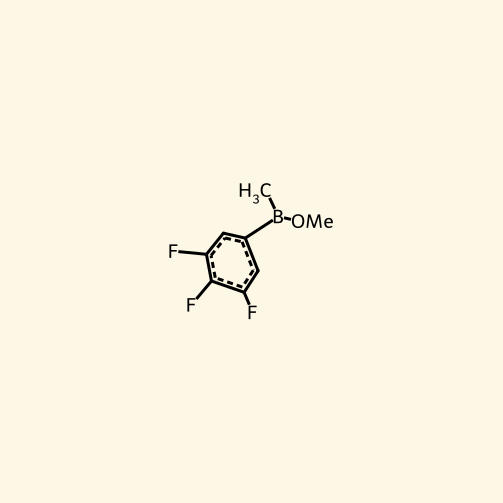 COB(C)c1cc(F)c(F)c(F)c1